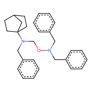 c1ccc(CN(Cc2ccccc2)OCN(Cc2ccccc2)C23CCC(CC2)C3)cc1